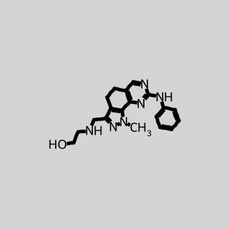 Cn1nc(CNCCO)c2c1-c1nc(Nc3ccccc3)ncc1CC2